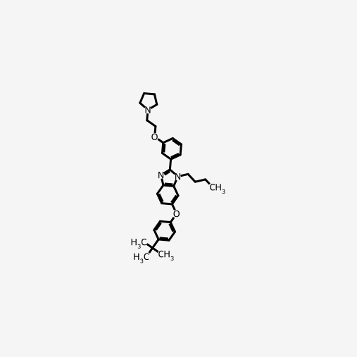 CCCCn1c(-c2cccc(OCCN3CCCC3)c2)nc2ccc(Oc3ccc(C(C)(C)C)cc3)cc21